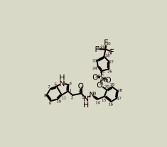 O=C(Cc1c[nH]c2ccccc12)NN=Cc1ccccc1OS(=O)(=O)c1ccc(C(F)(F)F)cc1